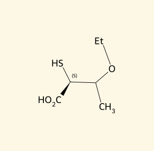 CCOC(C)[C@H](S)C(=O)O